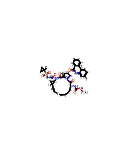 CC(C)(C)OC(=O)N[C@H]1CCCCC/C=C\[C@@H]2C[C@@]2(C(=O)NS(=O)(=O)C2(C)CC2)NC(=O)[C@@H]2C[C@@H](Oc3nc4cc(F)ccc4c4ccccc34)CN2C1=O